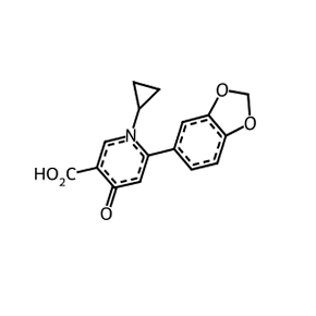 O=C(O)c1cn(C2CC2)c(-c2ccc3c(c2)OCO3)cc1=O